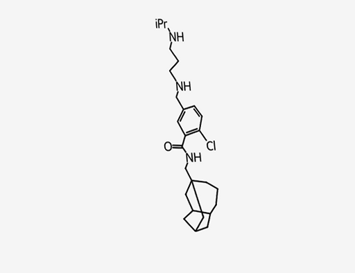 CC(C)NCCCNCc1ccc(Cl)c(C(=O)NCC23CCCC4CC(CC4C2)C3)c1